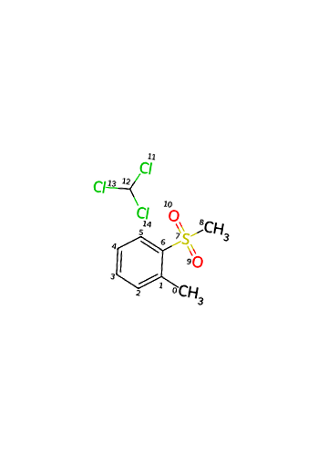 Cc1ccccc1S(C)(=O)=O.ClC(Cl)Cl